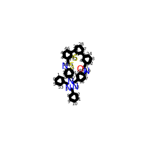 c1ccc(-c2nc(-c3ccccc3)nc(-c3ccc4nc(-c5cccc(-c6cccc7c6sc6c(-c8nc9ccccc9s8)cccc67)c5)oc4c3)n2)cc1